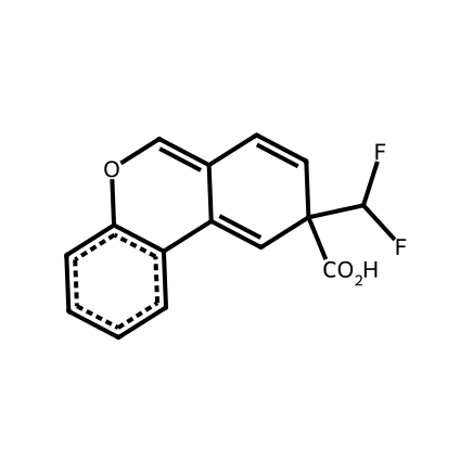 O=C(O)C1(C(F)F)C=CC2=COc3ccccc3C2=C1